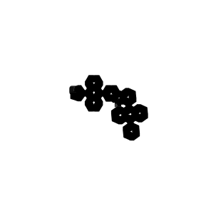 c1ccc(-c2c3ccccc3c(-c3cccc4c3sc3cc(-c5c6ccccc6c(-c6ccoc6)c6ccccc56)ccc34)c3ccccc23)cc1